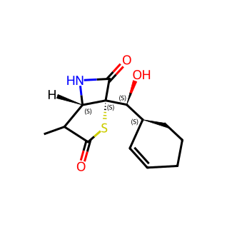 CC1C(=O)S[C@@]2([C@@H](O)[C@@H]3C=CCCC3)C(=O)N[C@@H]12